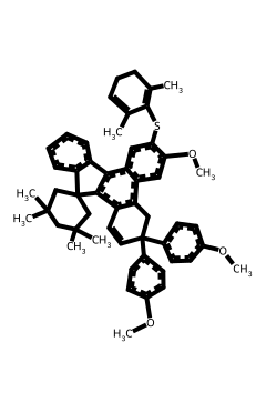 COc1ccc(C2(c3ccc(OC)cc3)C=Cc3c4c(c5cc(SC6=C(C)CCC=C6C)c(OC)cc5c3C2)-c2ccccc2C42CC(C)(C)CC(C)(C)C2)cc1